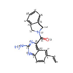 C=Cc1ccc2nc(N)nc(C(=O)N3Cc4ccccc4C3)c2c1